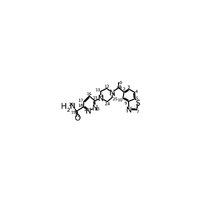 C[C@@H](c1ccc2scnc2c1)N1CCN(c2ccc(C(N)=O)nn2)CC1